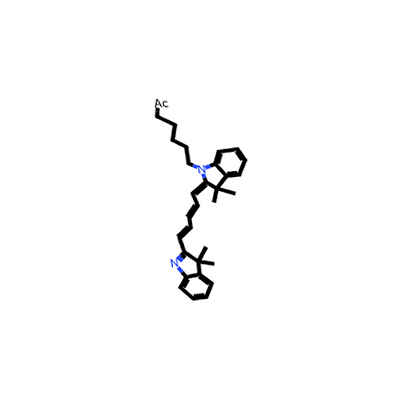 CC(=O)CCCCCN1/C(=C/C=C/C=C/C2=Nc3ccccc3C2(C)C)C(C)(C)c2ccccc21